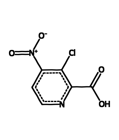 O=C(O)c1nccc([N+](=O)[O-])c1Cl